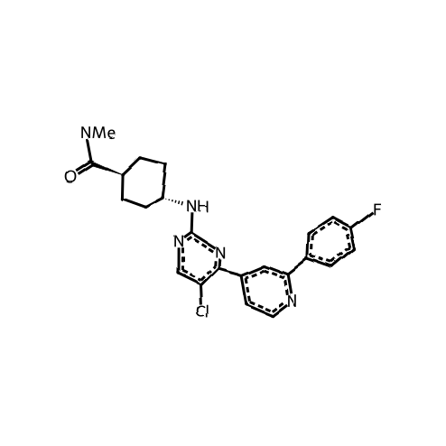 CNC(=O)[C@H]1CC[C@H](Nc2ncc(Cl)c(-c3ccnc(-c4ccc(F)cc4)c3)n2)CC1